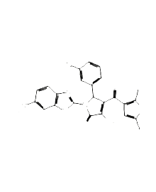 Cc1cc(C(=O)C2=C(O)C(=O)N(c3nc4ccc([N+](=O)[O-])cc4s3)C2c2cccc([N+](=O)[O-])c2)c(C)o1